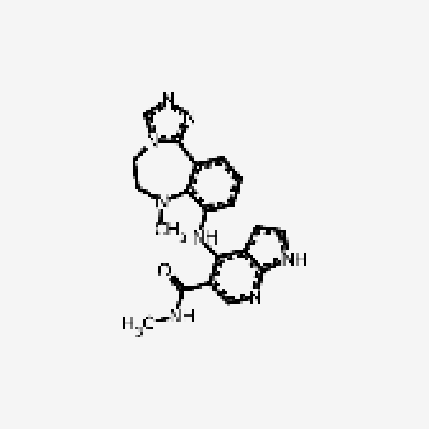 CNC(=O)c1cnc2[nH]ccc2c1Nc1cccc2c1N(C)CCn1cnnc1-2